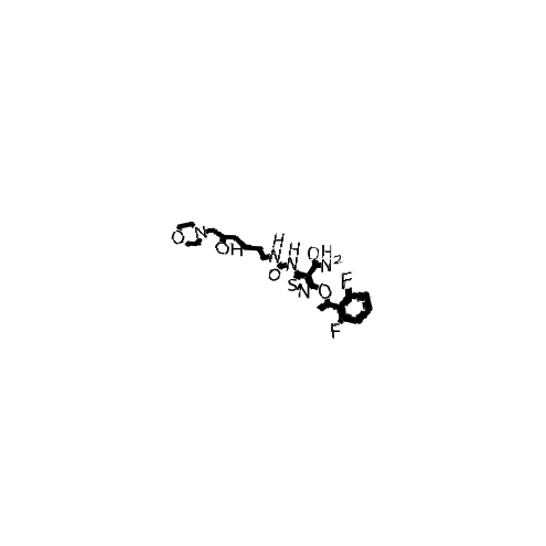 CC(Oc1nsc(NC(=O)NCCCCC(O)CN2CCOCC2)c1C(N)=O)c1c(F)cccc1F